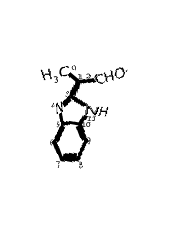 CC([C]=O)c1nc2ccccc2[nH]1